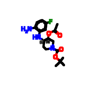 CC(=O)O[C@H]1CN(C(=O)OC(C)(C)C)CC[C@@H]1Nc1cc(F)ccc1N